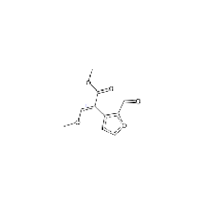 CO/C=C(/C(=O)OC)c1ccoc1C=O